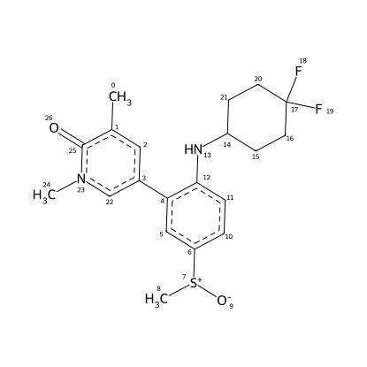 Cc1cc(-c2cc([S+](C)[O-])ccc2NC2CCC(F)(F)CC2)cn(C)c1=O